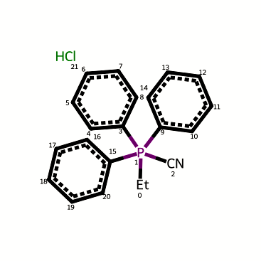 CCP(C#N)(c1ccccc1)(c1ccccc1)c1ccccc1.Cl